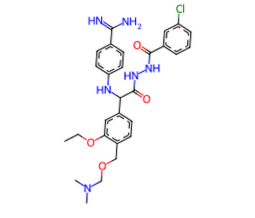 CCOc1cc(C(Nc2ccc(C(=N)N)cc2)C(=O)NNC(=O)c2cccc(Cl)c2)ccc1COCN(C)C